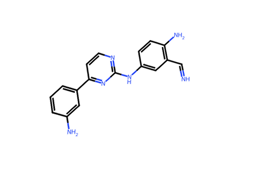 N=Cc1cc(Nc2nccc(-c3cccc(N)c3)n2)ccc1N